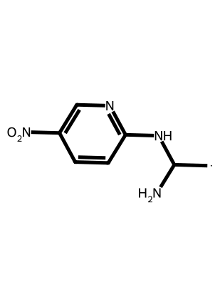 [CH2]C(N)Nc1ccc([N+](=O)[O-])cn1